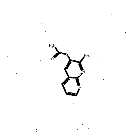 NC(=O)Sc1cc2cccnc2nc1N